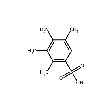 Cc1cc(S(=O)(=O)O)c(C)c(C)c1N